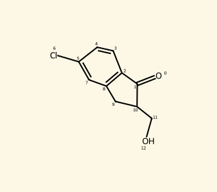 O=C1c2ccc(Cl)cc2CC1CO